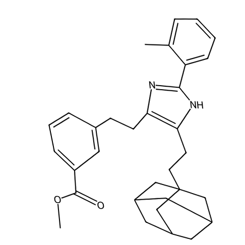 COC(=O)c1cccc(CCc2nc(-c3ccccc3C)[nH]c2CCC23CC4CC(CC(C4)C2)C3)c1